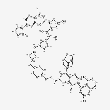 CCc1cccc2cc(O)cc(-c3ncc4c(N5CC6CCC(C5)N6)nc(OCCN5CCC(CN6CC(Oc7cc([C@H](C(=O)N8C[C@H](O)C[C@H]8C(=O)N[C@@H](C)c8ccc(-c9scnc9C)cc8)C(C)C)on7)C6)CC5)nc4c3F)c12